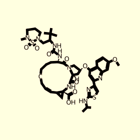 COc1ccc2c(O[C@@H]3C[C@H]4C(=O)N[C@]5(C(=O)O)CC5/C=C\CCCCC[C@H](NC(=O)NC(CN5CCCN(C)S5(=O)=O)C(C)(C)C)C(=O)N4C3)cc(-c3csc(NC(C)C)n3)nc2c1